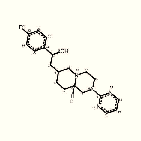 OC(CC1CC[C@H]2CN(c3ncccn3)CCN2C1)c1ccc(F)cc1